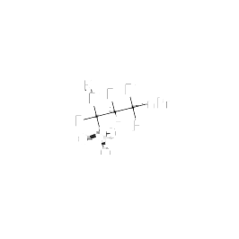 CCCC(F)(F)C(F)(F)C(F)(F)S(=O)(=O)[O-].[K+]